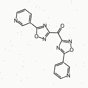 O=C(c1noc(-c2cccnc2)n1)c1noc(-c2cccnc2)n1